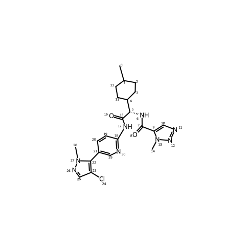 CC1CCC([C@H](NC(=O)c2cnnn2C)C(=O)Nc2ccc(-c3c(Cl)cnn3C)cn2)CC1